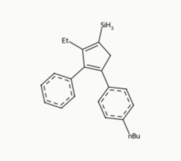 CCCCc1ccc(C2=C(c3ccccc3)C(CC)=C([SiH3])C2)cc1